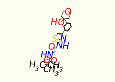 CC(C)(C)OC(=O)NCC(=O)Nc1nc(-c2cccc(C3(O)CCOCC3)c2)cs1